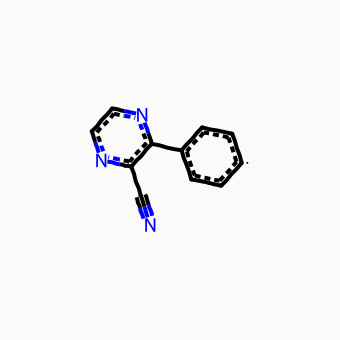 N#Cc1nccnc1-c1cc[c]cc1